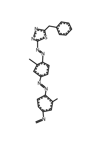 C=Nc1ccc(/N=N/c2ccc(/N=N/c3nnc(Cc4ccccc4)s3)c(C)c2)c(C)c1